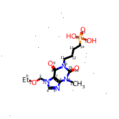 CCOCn1cnc2c1c(=O)n(CCCCP(=O)(O)O)c(=O)n2C